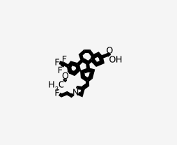 CCOc1ccc(C2=C(c3ccc(C=C4CN(CCCF)C4)cc3)c3ccc(C(=O)O)cc3CCC2)cc1C(F)(F)F